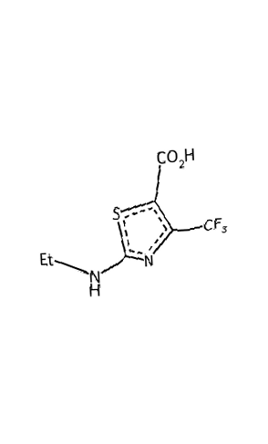 CCNc1nc(C(F)(F)F)c(C(=O)O)s1